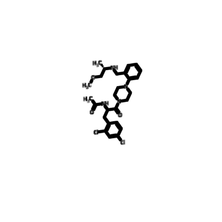 COC[C@H](C)NCc1ccccc1N1CCN(C(=O)C(Cc2ccc(Cl)cc2Cl)NC(C)=O)CC1